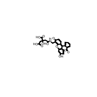 O=C(O)CC(O)(CC(=O)NCc1c2oc3cc(O)ccc3c(-c3ccccc3C(=O)O)c-2ccc1=O)C(=O)O